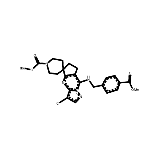 COC(=O)c1ccc(CNc2c3c(nc4c(Cl)cnn24)C2(CC3)CCN(C(=O)OC(C)(C)C)CC2)cc1